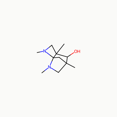 CN1CC2(C)CC13N(C)CC3(C)C2O